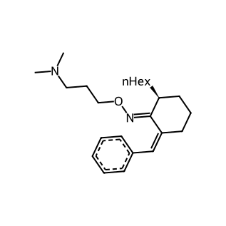 CCCCCC[C@H]1CCCC(=Cc2ccccc2)C1=NOCCCN(C)C